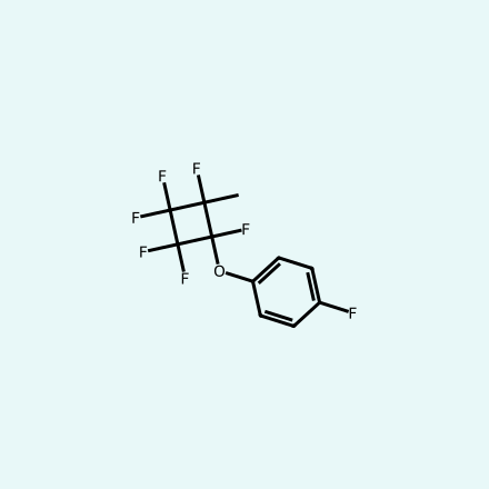 CC1(F)C(F)(F)C(F)(F)C1(F)Oc1ccc(F)cc1